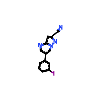 N#Cc1cc2ncc(-c3cccc(I)c3)cn2n1